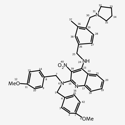 COc1ccc(CN(Cc2ccc(OC)cc2)c2nc3ccccc3c(NCc3ccc(CN4CCCC4)c(C)c3)c2[N+](=O)[O-])cc1